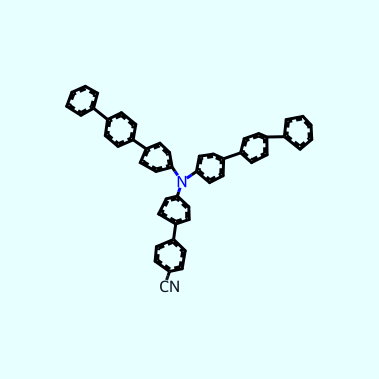 N#Cc1ccc(-c2ccc(N(c3ccc(-c4ccc(-c5ccccc5)cc4)cc3)c3ccc(-c4ccc(-c5ccccc5)cc4)cc3)cc2)cc1